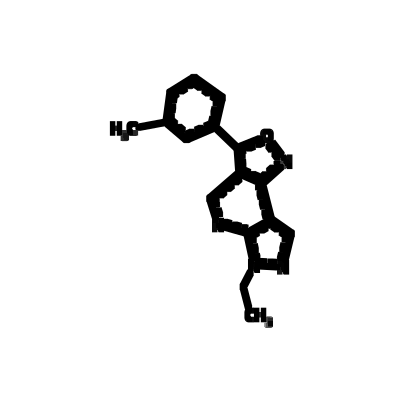 CCn1ncc2c3noc(-c4cccc(C)c4)c3cnc21